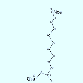 CCCCCCCCCCCCCCCCCCC(C)CC=O